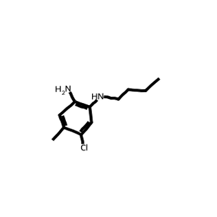 CCCCNc1cc(Cl)c(C)cc1N